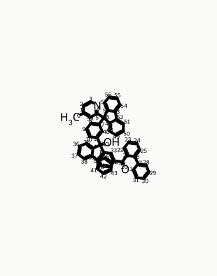 Cc1ccnc(C2(c3cccc(C(O)(c4cccc(C(=O)c5ccccc5-c5ccccc5)c4)c4ccccc4-c4ccccc4)c3)c3ccccc3-c3ccccc32)c1